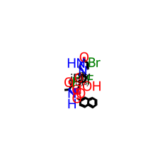 CC(C)OC(=O)C(C)NP(=O)(OC[C@@]1(F)O[C@@H](N2C=C(Br)C(=O)NC2)[C@](C)(F)[C@@H]1O)Oc1ccc2ccccc2c1